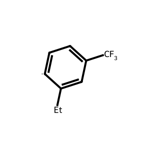 CCc1[c]ccc(C(F)(F)F)c1